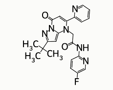 CC(C)(C)c1cc2n(CC(=O)Nc3ccc(F)cn3)c(-c3ccccn3)cc(=O)n2n1